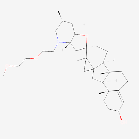 COCCOCCN1C[C@@H](C)C[C@H]2O[C@]3(CC[C@H]4[C@@H]5CCC6=C[C@@H](O)CC[C@]6(C)[C@H]5CC45CC53C)[C@H](C)[C@@H]21